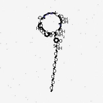 CCOCCOCCOCCOCCOCCOCCOCCNC(=S)OC1CC[C@@H](C[C@@H](N)[C@@H]2C[C@@H](O)[C@H](C)/C=C(\C)[C@@H](O)[C@@H](O)C(=O)[C@H](C)C[C@H](C)/C=C/C=C/C=C(\C)[C@@H](OC)C[C@@H]3CC[C@@H](C)[C@@](O)(O3)C(=O)C(=O)N3CCCC[C@H]3C(=O)O2)C[C@H]1OC